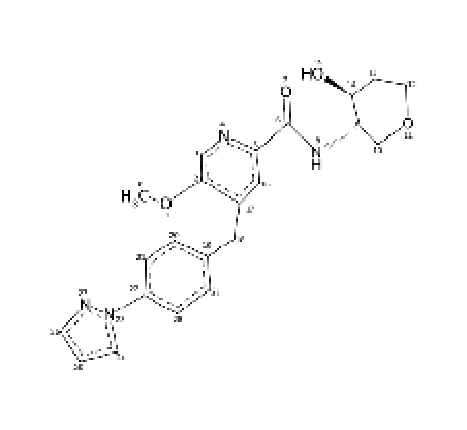 COc1cnc(C(=O)N[C@H]2COCC[C@@H]2O)cc1Cc1ccc(-n2cccn2)cc1